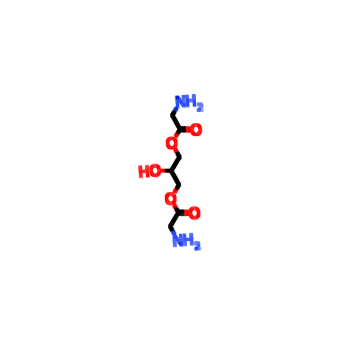 NCC(=O)OCC(O)COC(=O)CN